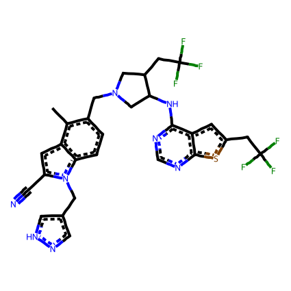 Cc1c(CN2CC(CC(F)(F)F)C(Nc3ncnc4sc(CC(F)(F)F)cc34)C2)ccc2c1cc(C#N)n2Cc1cn[nH]c1